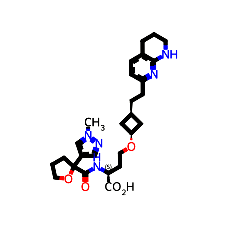 Cn1cc(C2(C(=O)N[C@@H](CCO[C@H]3C[C@H](CCc4ccc5c(n4)NCCC5)C3)C(=O)O)CCCO2)cn1